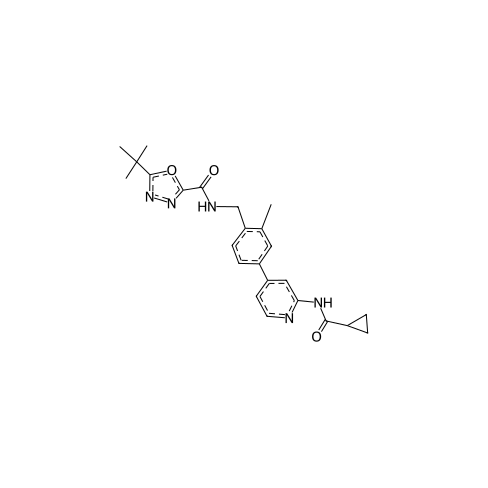 Cc1cc(-c2ccnc(NC(=O)C3CC3)c2)ccc1CNC(=O)c1nnc(C(C)(C)C)o1